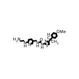 COc1ccc(C(C)(C)c2csc(NC(=O)NCc3ccc(NCCN)nc3)n2)cc1